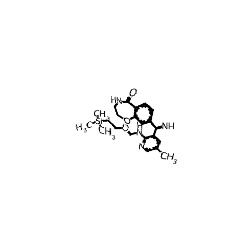 Cc1cnc(NCOCC[Si](C)(C)C)c(C(=N)c2ccc3c(c2)OCCNC3=O)c1